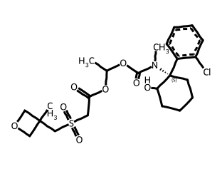 CC(OC(=O)CS(=O)(=O)CC1(C)COC1)OC(=O)N(C)[C@]1(c2ccccc2Cl)CCCCC1O